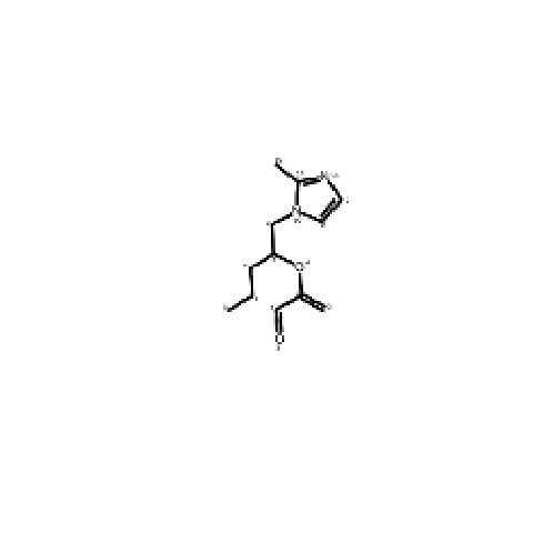 C=C(C=O)OC(CCC)Cn1ccnc1C